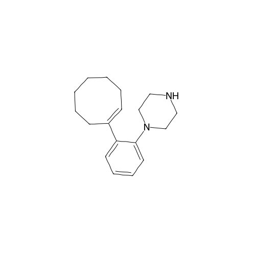 C1=C(c2ccccc2N2CCNCC2)CCCCCC1